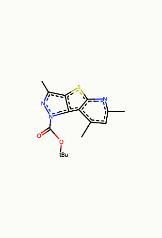 Cc1cc(C)c2c(n1)sc1c(C)nn(C(=O)OC(C)(C)C)c12